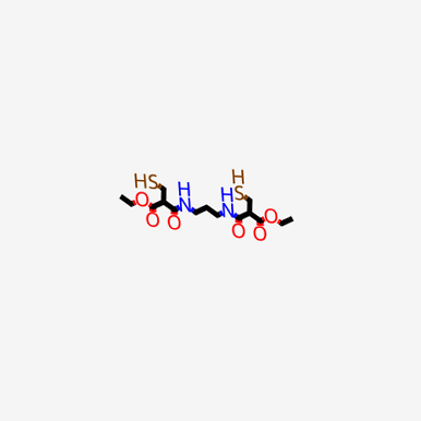 CCOC(=O)C(CS)C(=O)NCCCNC(=O)C(CS)C(=O)OCC